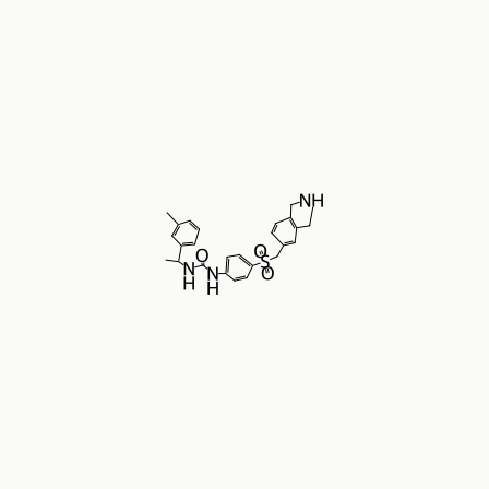 Cc1cccc(C(C)NC(=O)Nc2ccc(S(=O)(=O)Cc3ccc4c(c3)CCNC4)cc2)c1